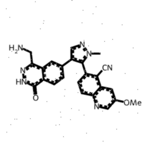 COc1cnc2ccc(-c3c(-c4ccc5c(=O)[nH]nc(CN)c5c4)cnn3C)c(C#N)c2c1